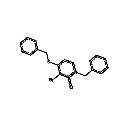 O=c1c(Br)c(SCc2ccccc2)ccn1Cc1ccccc1